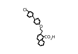 O=C(O)c1c(CCOc2ccc(-c3ccc(Cl)cc3)cc2)ccc2ccccc12